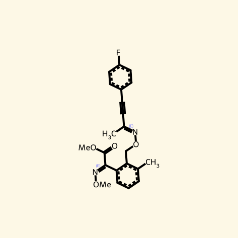 CO/N=C(/C(=O)OC)c1cccc(C)c1CO/N=C(\C)C#Cc1ccc(F)cc1